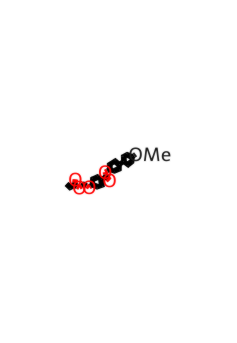 C=CC(=O)OCOc1ccc(C(=O)Oc2ccc(-c3ccc(OC)cc3)cc2)cc1